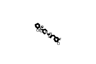 O=S(=O)(c1ccccc1C(F)(F)F)C1CCN(c2nc(Cc3ccc(Cl)c(F)c3)cs2)CC1